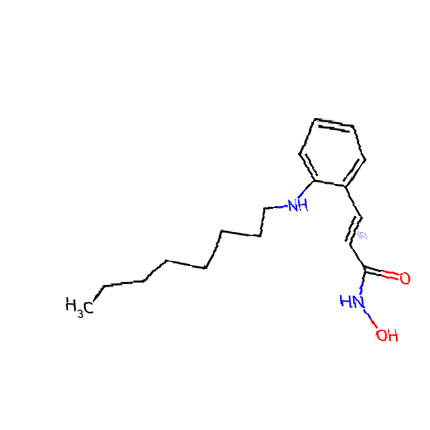 CCCCCCCCNc1ccccc1/C=C/C(=O)NO